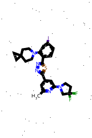 Cc1cc(-c2nnc(-c3ccc(I)cc3N3CCC4(CC3)CC4)s2)cc(N2CCC(F)(F)C2)n1